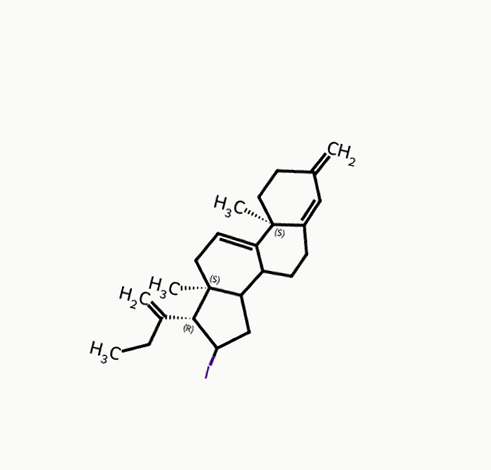 C=C1C=C2CCC3C(=CC[C@@]4(C)C3CC(I)[C@@H]4C(=C)CC)[C@@]2(C)CC1